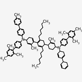 CCCCCCC1=CC(C2=CCC(N(c3ccc(-c4ccc(C)cc4)cc3)c3ccc(-c4c(C)cc(C)cc4C)cc3)C=C2C)=C(CCCCCC)CC1C1CCC(N(c2ccc(-c3c(C)cc(C)cc3C)cc2)C2C=CC(C3C=CC=CC3)=CC2)C=C1C